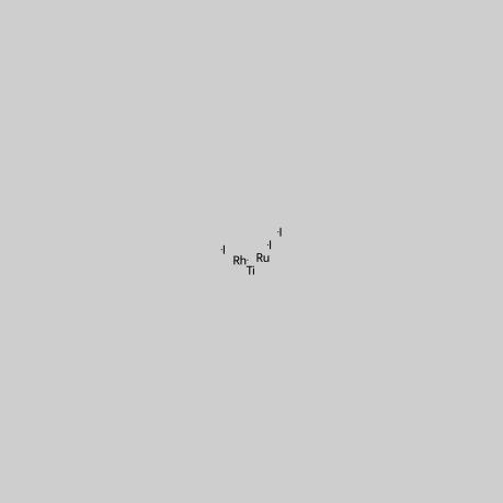 [I].[I].[I].[Rh].[Ru].[Ti]